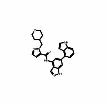 O=C(Nc1cc(-c2cccc3[nH]ccc23)cc2[nH]ncc12)c1ccnn1CC1CCOCC1